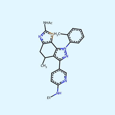 CCNc1ccc(-c2nn(-c3ccccc3C)c3c2C(C)Cc2nc(NC(C)=O)sc2-3)cn1